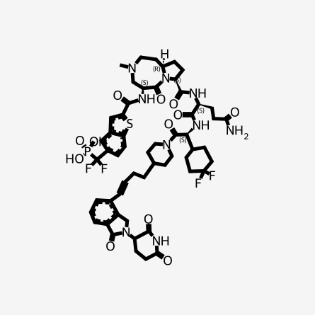 CN1CC[C@H]2CC[C@@H](C(=O)N[C@@H](CCC(N)=O)C(=O)N[C@H](C(=O)N3CCC(CCC#Cc4cccc5c4CN(C4CCC(=O)NC4=O)C5=O)CC3)C3CCC(F)(F)CC3)N2C(=O)[C@@H](NC(=O)c2cc3cc(C(F)(F)P(=O)(O)O)ccc3s2)C1